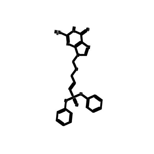 Nc1nc2c(ncn2COCC=CP(=O)(Oc2ccccc2)Oc2ccccc2)c(=O)[nH]1